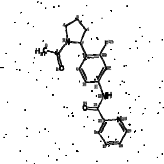 CC(=O)N1CCCC1c1ccc(NC(=O)c2ccccn2)cc1F